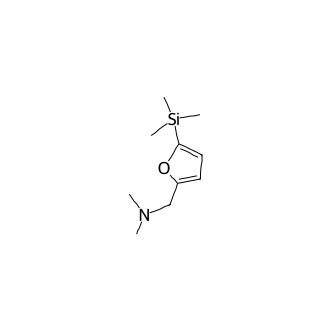 CN(C)Cc1ccc([Si](C)(C)C)o1